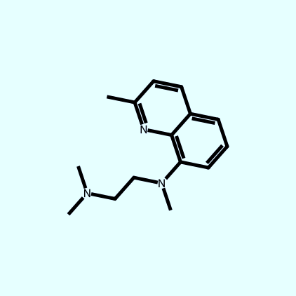 Cc1ccc2cccc(N(C)CCN(C)C)c2n1